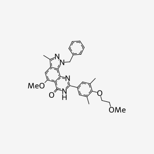 COCCOc1c(C)cc(-c2nc3c(c(OC)cc4c(C)nn(Cc5ccccc5)c43)c(=O)[nH]2)cc1C